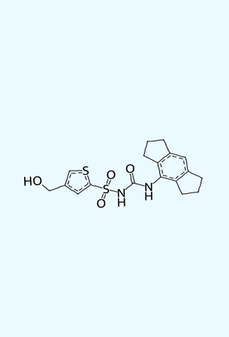 O=C(Nc1c2c(cc3c1CCC3)CCC2)NS(=O)(=O)c1cc(CO)cs1